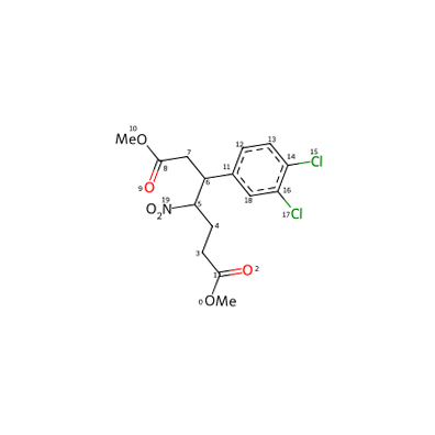 COC(=O)CCC(C(CC(=O)OC)c1ccc(Cl)c(Cl)c1)[N+](=O)[O-]